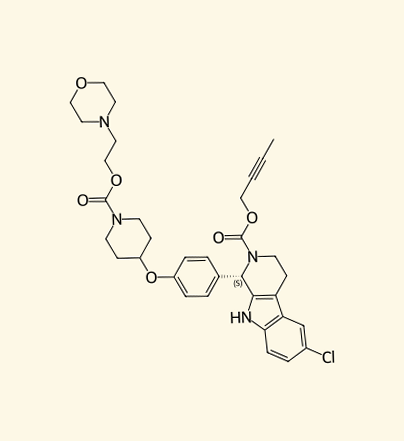 CC#CCOC(=O)N1CCc2c([nH]c3ccc(Cl)cc23)[C@@H]1c1ccc(OC2CCN(C(=O)OCCN3CCOCC3)CC2)cc1